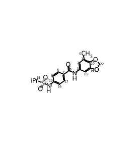 Cc1cc(NC(=O)c2ccc(NS(=O)(=O)C(C)C)cc2)cc2c1OCO2